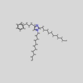 CCCCCCCCCCCc1nc(CCCc2ccccc2)cn1CCCCCCCCCCC